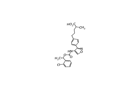 CC(CCCc1ccc(-c2nocc2NC(=O)O[C@H](C)c2ccccc2Cl)cc1)C(=O)O